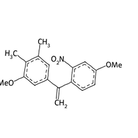 C=C(c1cc(C)c(C)c(OC)c1)c1ccc(OC)cc1[N+](=O)[O-]